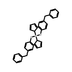 C1=C[CH]([Zr]([O]c2ccc(Cc3ccccc3)cc2)([O]c2ccc(Cc3ccccc3)cc2)[CH]2C=CC=C2)C=C1